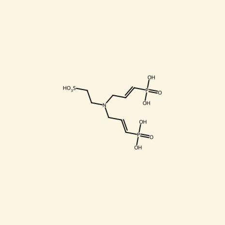 O=P(O)(O)C=CCN(CC=CP(=O)(O)O)CCS(=O)(=O)O